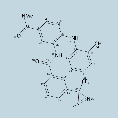 CNC(=O)c1cnc(Nc2ccccc2C)c(NC(=O)c2cccc(C3(C(F)(F)F)N=N3)c2)c1